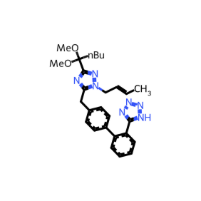 CC=CCn1nc(C(CCCC)(OC)OC)nc1Cc1ccc(-c2ccccc2-c2nnn[nH]2)cc1